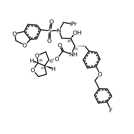 CC(C)CN(C[C@@H](O)[C@H](Cc1ccc(OCc2ccc(F)cc2)cc1)NC(=O)O[C@H]1CO[C@H]2OCC[C@H]21)S(=O)(=O)c1ccc2c(c1)OCO2